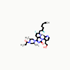 C#C/C=C\C=C(\F)Cc1nc2c(cc1F)c(N1C[C@@H](C)N(C(=O)C=C)C[C@@H]1C)nc(=O)n2-c1c(CCO)ccnc1C(C)C